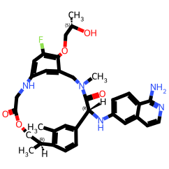 Cc1cc2ccc1[C@@H](C)COC(=O)CNc1cc(F)c(OC[C@H](C)O)c(c1)CN(C)C(=O)[C@@H]2Nc1ccc2c(N)nccc2c1